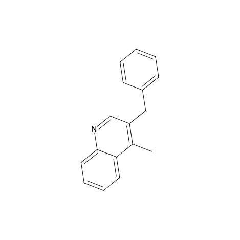 Cc1c(Cc2ccccc2)cnc2ccccc12